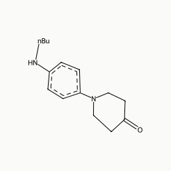 CCCCNc1ccc(N2CCC(=O)CC2)cc1